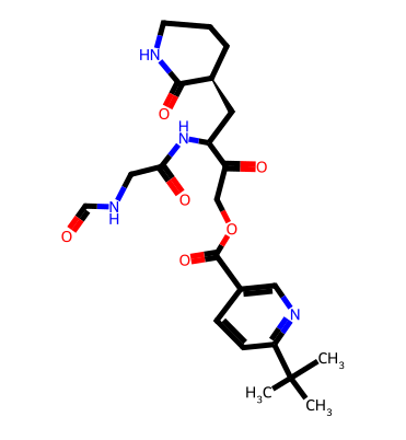 CC(C)(C)c1ccc(C(=O)OCC(=O)C(C[C@@H]2CCCNC2=O)NC(=O)CNC=O)cn1